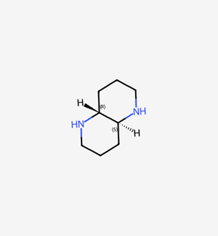 C1CN[C@@H]2CCCN[C@H]2C1